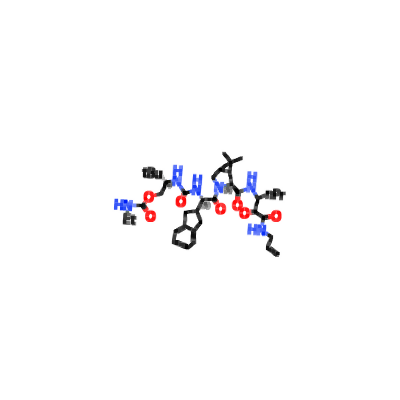 C=CCNC(=O)C(=O)C(CCC)NC(=O)[C@@H]1C2C(CN1C(=O)[C@@H](NC(=O)N[C@H](COC(=O)NCC)C(C)(C)C)C1Cc3ccccc3C1)C2(C)C